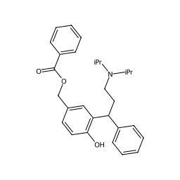 CC(C)N(CCC(c1ccccc1)c1cc(COC(=O)c2ccccc2)ccc1O)C(C)C